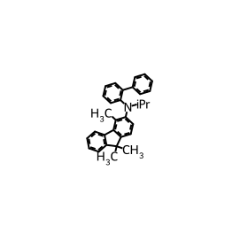 Cc1c(N(c2ccccc2-c2ccccc2)C(C)C)ccc2c1-c1ccccc1C2(C)C